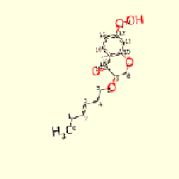 CCC=CCCOC1COc2cc(OO)ccc2C1=O